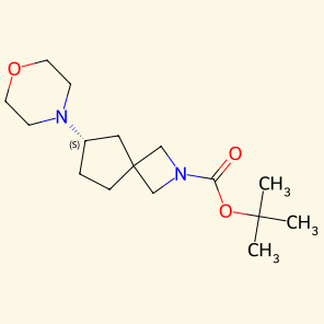 CC(C)(C)OC(=O)N1CC2(CC[C@H](N3CCOCC3)C2)C1